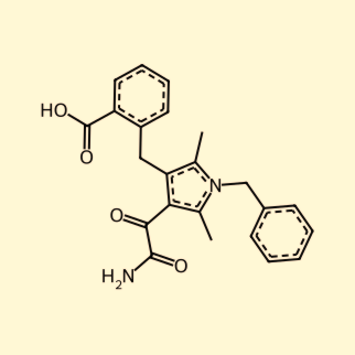 Cc1c(Cc2ccccc2C(=O)O)c(C(=O)C(N)=O)c(C)n1Cc1ccccc1